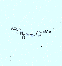 CSc1ccc(/C=C/C=C/C(=O)N2CCN(C(C)=O)CC2)cc1